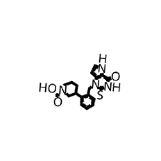 O=C(O)N1CCCC(c2ccccc2Cn2c(=S)[nH]c(=O)c3[nH]ccc32)C1